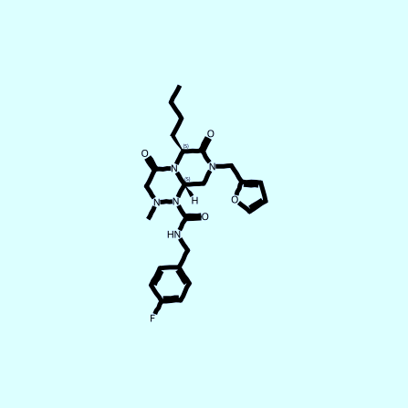 CCCC[C@H]1C(=O)N(Cc2ccco2)C[C@H]2N1C(=O)CN(C)N2C(=O)NCc1ccc(F)cc1